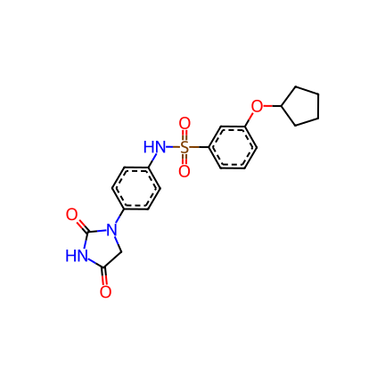 O=C1CN(c2ccc(NS(=O)(=O)c3cccc(OC4CCCC4)c3)cc2)C(=O)N1